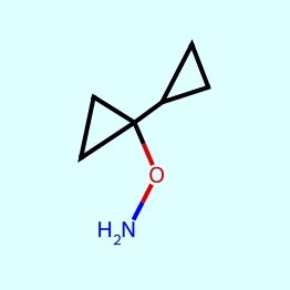 NOC1(C2CC2)CC1